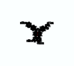 CCCCCCc1cnc(-c2ccc(C(OC(c3ccc(C(=O)OC(C)CCCCCC)cc3)c3ccc(-c4ncc(CCCCCC)cn4)cc3)c3ccc(C(=O)OC(C)CCCCCC)cc3)cc2)nc1